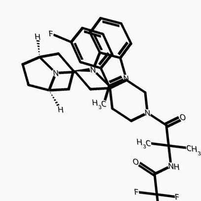 Cc1nc2ccccc2n1[C@H]1C[C@H]2CC[C@@H](C1)N2CCC1(c2cccc(F)c2)CCN(C(=O)C(C)(C)NC(=O)C(F)(F)F)CC1